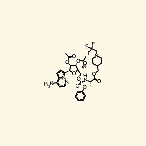 CC(=O)O[C@H]1[C@H](c2ccc3c(N)ccnn23)O[C@](C#N)(CO[P@](=O)(N[C@@H](C)C(=O)OCC2CCN(CC(F)(F)F)CC2)Oc2ccccc2)[C@H]1OC(C)=O